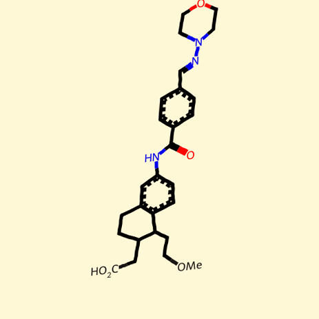 COCCC1c2ccc(NC(=O)c3ccc(C=NN4CCOCC4)cc3)cc2CCC1CC(=O)O